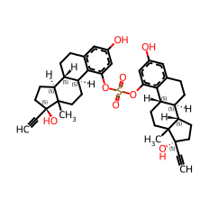 C#C[C@]1(O)CC[C@H]2[C@@H]3CCc4cc(O)cc(OS(=O)(=O)Oc5cc(O)cc6c5[C@H]5CCC7(C)[C@@H](CC[C@@]7(O)C#C)[C@@H]5CC6)c4[C@H]3CCC21C